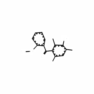 CCOc1[c]cccc1C(=O)c1c(C)cc(C)c(CC)c1C